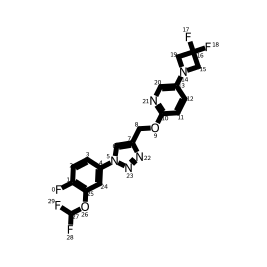 Fc1ccc(-n2cc(COc3ccc(N4CC(F)(F)C4)cn3)nn2)cc1OC(F)F